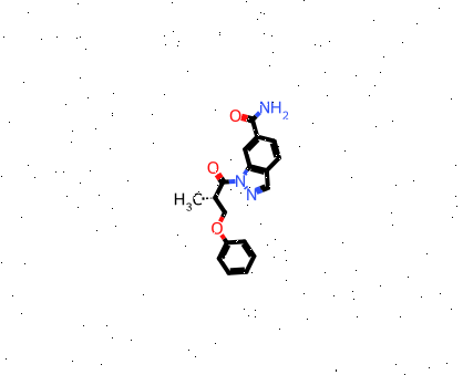 C[C@@H](COc1ccccc1)C(=O)n1ncc2ccc(C(N)=O)cc21